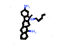 C=C/C=C\CNC1(C)C2=C(CCC(N)=C2)c2cc3cc4ccccc4c(N)c3cc21